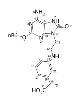 CCCCOc1nc(N)c2[nH]c(=O)n(CCNc3cccc(C(C)C(=O)O)c3)c2n1